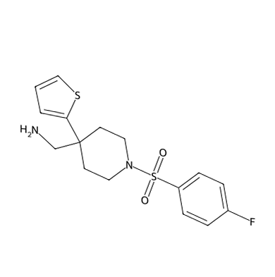 NCC1(c2cccs2)CCN(S(=O)(=O)c2ccc(F)cc2)CC1